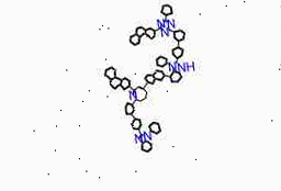 C1=C(/c2ccc3ccc(-c4cccc5c4N(c4ccccc4)C(c4ccc(-c6cccc(-c7nc(-c8ccccc8)nc(-c8ccc9c(ccc%10ccccc%109)c8)n7)c6)cc4)N5)cc3c2)CCCC(c2cccc(-c3ccc(-c4nc5ccccc5n4-c4ccccc4)cc3)c2)\N=C/1c1ccc2c(ccc3ccccc32)c1